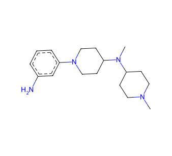 CN1CCC(N(C)C2CCN(c3cccc(N)c3)CC2)CC1